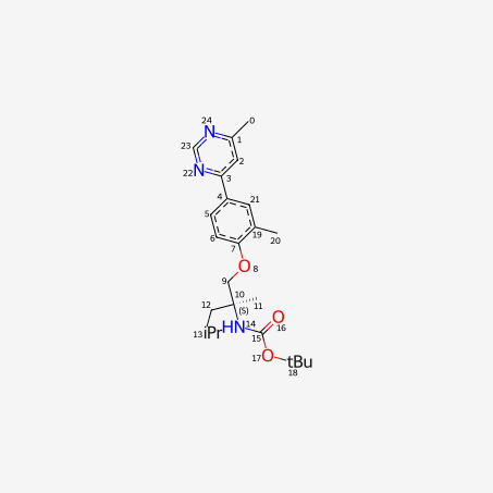 Cc1cc(-c2ccc(OC[C@](C)(CC(C)C)NC(=O)OC(C)(C)C)c(C)c2)ncn1